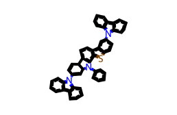 C1=CC2c3ccc4c(sc5ccc(-n6c7ccccc7c7ccccc76)cc54)c3N(c3ccccc3)C2C=C1n1c2ccccc2c2ccccc21